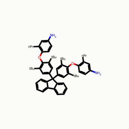 CCCc1cc(N)ccc1Oc1c(C(C)(C)C)cc(C2(c3cc(C(C)(C)C)c(Oc4ccc(N)cc4CCC)c(C(C)(C)C)c3)c3ccccc3-c3ccccc32)cc1C(C)(C)C